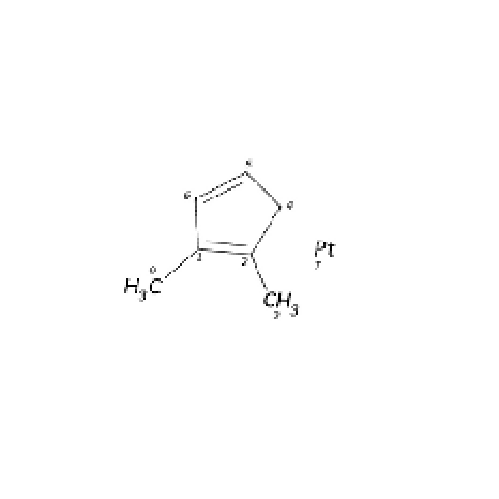 CC1=C(C)CC=C1.[Pt]